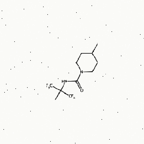 CC1CCN(C(=O)NC(C)(C(F)(F)F)C(F)(F)F)CC1